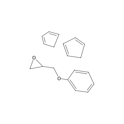 C1=CCC=C1.C1=CCC=C1.c1ccc(OCC2CO2)cc1